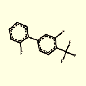 Fc1ccccc1-c1ccc(C(F)(F)F)c(F)c1